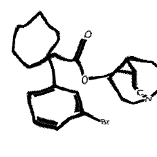 O=C(OC1CN2CCC1CC2)C1(c2cccc(Br)c2)CCCCC1